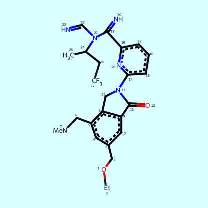 CCOCc1cc(CNC)c2c(c1)C(=O)N(c1cccc(C(=N)N(C=N)C(C)CC(F)(F)F)n1)C2